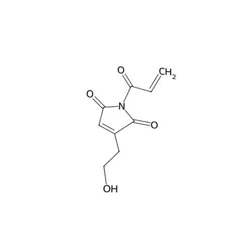 C=CC(=O)N1C(=O)C=C(CCO)C1=O